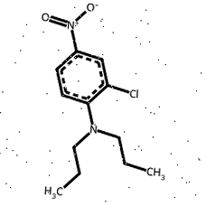 CCCN(CCC)c1ccc([N+](=O)[O-])cc1Cl